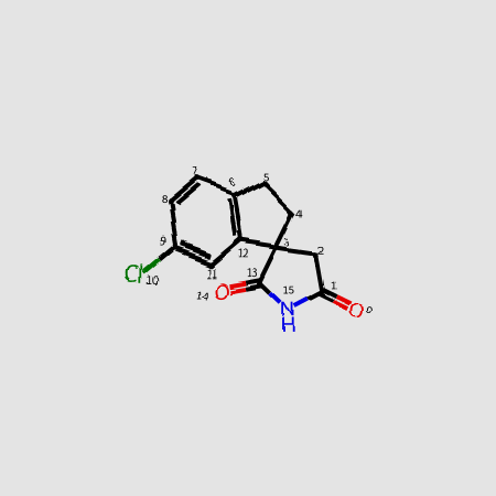 O=C1CC2(CCc3ccc(Cl)cc32)C(=O)N1